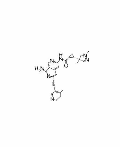 Cc1ccncc1C#Cc1cc2cc(NC(=O)[C@H]3C[C@@H]3C3(C)C=NN(C)C3)ncc2c(N)n1